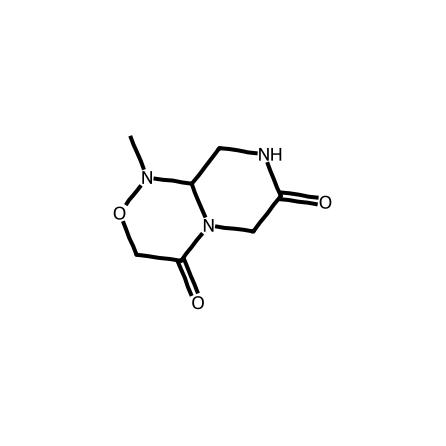 CN1OCC(=O)N2CC(=O)NCC12